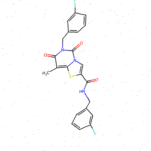 Cc1c(=O)n(Cc2cccc(F)c2)c(=O)n2cc(C(=O)NCc3cccc(F)c3)sc12